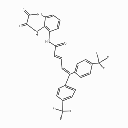 O=C(/C=C/C=C(c1ccc(C(F)(F)F)cc1)c1ccc(C(F)(F)F)cc1)Nc1cccc2[nH]c(=O)c(=O)[nH]c12